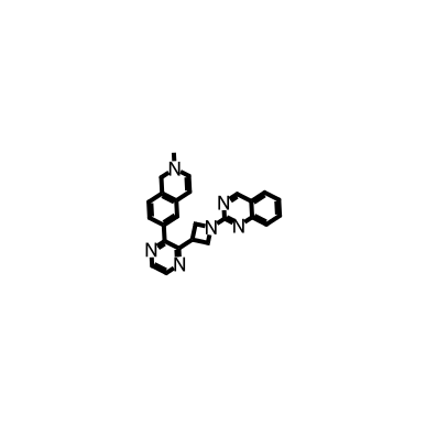 CN1C=Cc2cc(-c3nccnc3C3CN(c4ncc5ccccc5n4)C3)ccc2C1